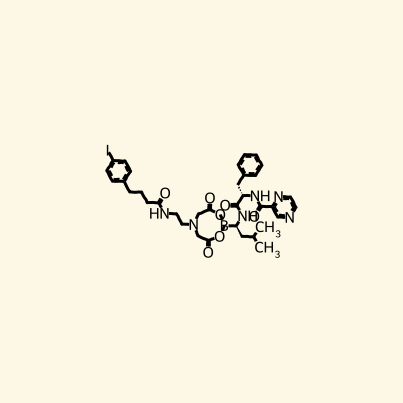 CC(C)C[C@H](NC(=O)[C@H](Cc1ccccc1)NC(=O)c1cnccn1)B1OC(=O)CN(CCNC(=O)CCCc2ccc(I)cc2)CC(=O)O1